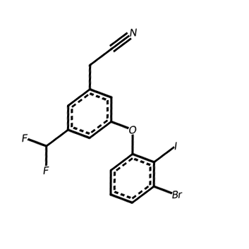 N#CCc1cc(Oc2cccc(Br)c2I)cc(C(F)F)c1